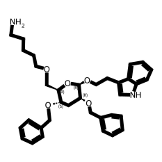 NCCCCCOC[C@H]1O[C@@H](OCCc2c[nH]c3ccccc23)[C@H](OCc2ccccc2)C[C@@H]1OCc1ccccc1